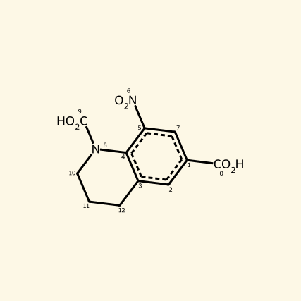 O=C(O)c1cc2c(c([N+](=O)[O-])c1)N(C(=O)O)CCC2